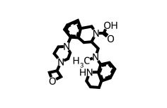 CN(CC1Cc2c(cccc2N2CCN(C3COC3)CC2)CN1C(=O)O)c1cccc2c1NCCC2